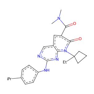 CCC1(n2c(=O)c(C(=O)N(C)C)cc3cnc(Nc4ccc(C(C)C)cc4)nc32)CCC1